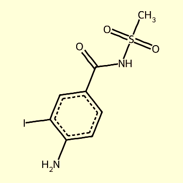 CS(=O)(=O)NC(=O)c1ccc(N)c(I)c1